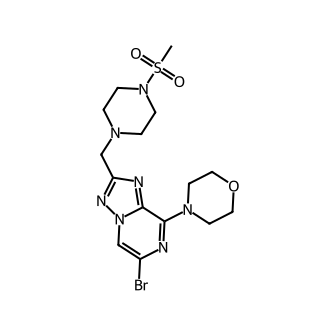 CS(=O)(=O)N1CCN(Cc2nc3c(N4CCOCC4)nc(Br)cn3n2)CC1